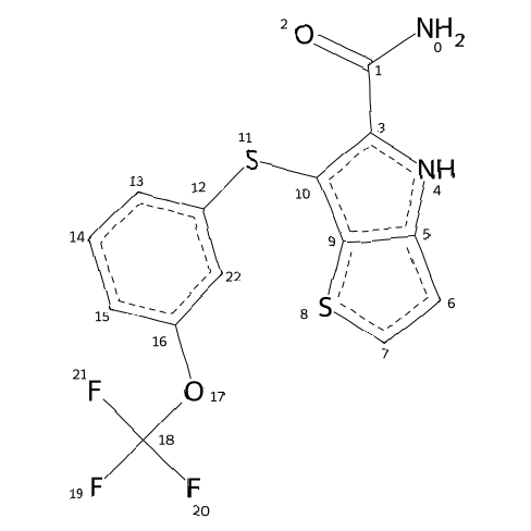 NC(=O)c1[nH]c2ccsc2c1Sc1cccc(OC(F)(F)F)c1